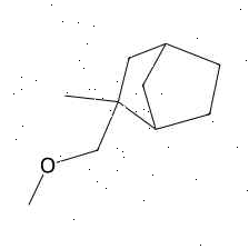 COCC1(C)CC2CCC1C2